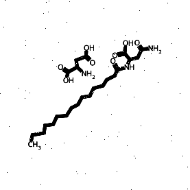 CCCCCCCCCCCCCCCC(=O)NC(CC(N)=O)C(=O)O.NC(CC(=O)O)C(=O)O